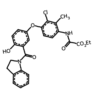 CCOC(=O)C(=O)Nc1ccc(Oc2ccc(O)c(C(=O)N3CCc4ccccc43)c2)c(Cl)c1C